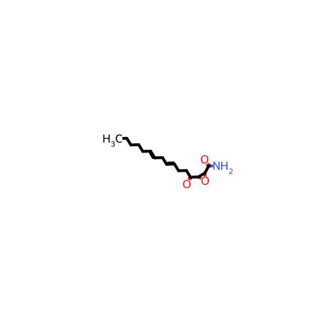 CCCCCC=CCC=CCCC(=O)C1OC1C(N)=O